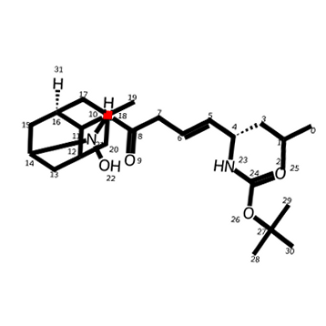 CC(C)C[C@@H](/C=C/CC(=O)NC1C2CC3C[C@H]1CC(C)(C2)N3O)NC(=O)OC(C)(C)C